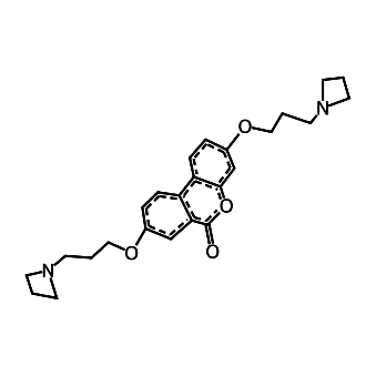 O=c1oc2cc(OCCCN3CCC3)ccc2c2ccc(OCCCN3CCC3)cc12